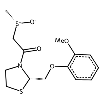 COc1ccccc1OC[C@@H]1SCCN1C(=O)C[S@+](C)[O-]